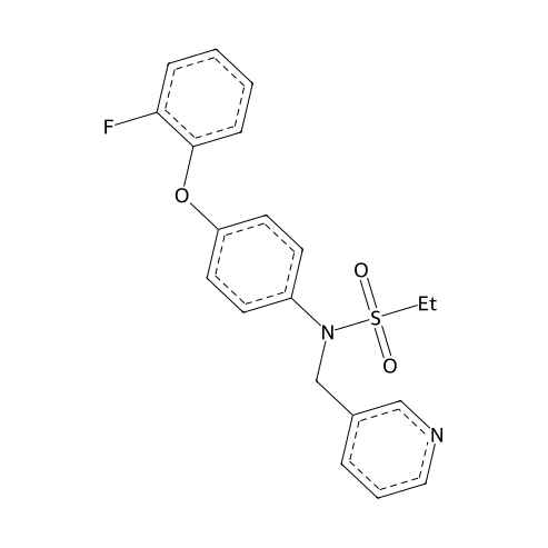 CCS(=O)(=O)N(Cc1cccnc1)c1ccc(Oc2ccccc2F)cc1